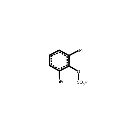 CC(C)c1cccc(C(C)C)c1OS(=O)(=O)O